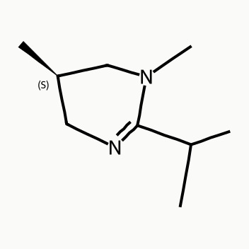 CC(C)C1=NC[C@@H](C)CN1C